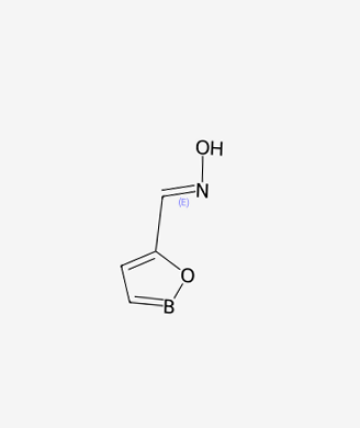 O/N=C/c1ccbo1